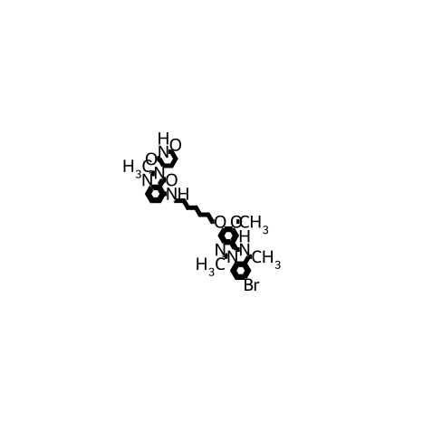 COc1cc2c(NC(C)c3cccc(Br)c3)nc(C)nc2cc1OCCCCCCCNc1cccc2nc(C)n(C3CCC(=O)NC3=O)c(=O)c12